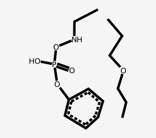 CCCOCCC.CCNOP(=O)(O)Oc1ccccc1